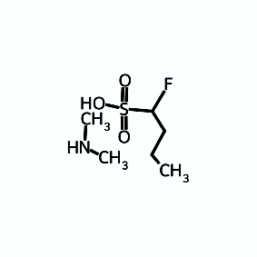 CCCC(F)S(=O)(=O)O.CNC